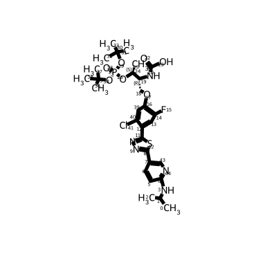 CC(C)Nc1ccc(-c2nnc(-c3cc(F)c(OC[C@@H](NC(=O)O)[C@H](C)OP(=O)(OC(C)(C)C)OC(C)(C)C)cc3Cl)s2)cn1